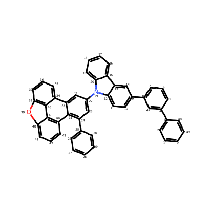 c1ccc(-c2cccc(-c3ccc4c(c3)c3ccccc3n4-c3cc(-c4ccccc4)c4c(c3)c3cccc5oc6cccc4c6c53)c2)cc1